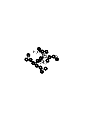 CC1(C)c2cc(-c3nc(-n4c5ccccc5c5cc(-c6ccc7oc8ccccc8c7c6)ccc54)nc(-n4c5ccccc5c5cc6c(cc54)C(C)(C)c4ccccc4-6)n3)ccc2-c2ccc(-n3c4cc(-c5ccc6c(c5)c5ccccc5n6-c5ccccc5)ccc4c4ccc(-c5ccc6c(c5)c5ccccc5n6-c5ccccc5)cc43)cc21